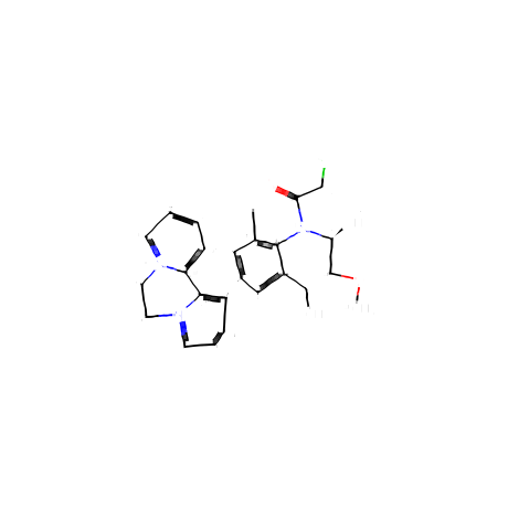 CCc1cccc(C)c1N(C(=O)CCl)[C@@H](C)COC.c1cc[n+]2c(c1)-c1cccc[n+]1CC2